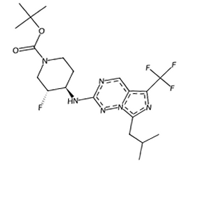 CC(C)Cc1nc(C(F)(F)F)c2cnc(N[C@@H]3CCN(C(=O)OC(C)(C)C)C[C@H]3F)nn12